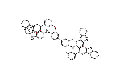 Cc1cc(-c2ccc(N(c3ccc4sc5ccccc5c4c3)c3c(C)cccc3-c3ccc4sc5ccccc5c4c3)c(C)c2)ccc1N(c1ccc2sc3ccccc3c2c1)c1c(C)cccc1-c1ccc2sc3ccccc3c2c1